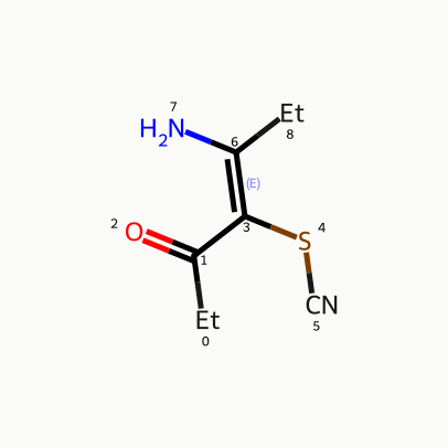 CCC(=O)/C(SC#N)=C(\N)CC